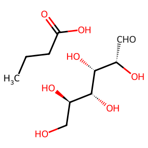 CCCC(=O)O.O=C[C@H](O)[C@@H](O)[C@H](O)[C@H](O)CO